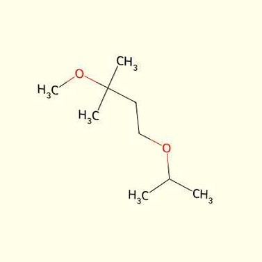 COC(C)(C)CCOC(C)C